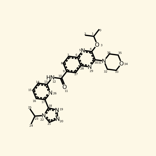 CC(C)Oc1nc2ccc(C(=O)Nc3cccc(-c4nncn4C(C)C)n3)cc2nc1N1CCOCC1